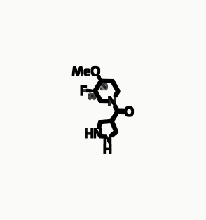 CO[C@H]1CCN(C(=O)C2CNNC2)C[C@H]1F